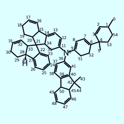 CC1C=CC(C)(C2=CC=C(N(C3=CC=C4C5C=CCCC5C5(c6ccccc6[C@@H]6CCC=CC65)C4C3)c3ccc4c(c3)C(C)(C)C3C=CC=CC43)CC2)CC1